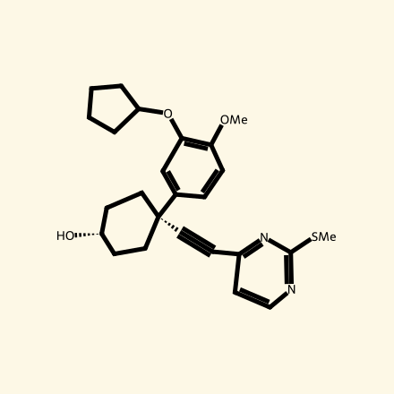 COc1ccc([C@]2(C#Cc3ccnc(SC)n3)CC[C@@H](O)CC2)cc1OC1CCCC1